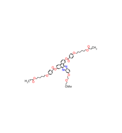 C=CC(=O)OCCCCCCOc1ccc(C(=O)Oc2ccc3c4ccc(OC(=O)c5ccc(OCCCCCCOC(=O)C=C)cc5)cc4c4nc5cc(OCCOCCOC)ccc5nc4c3c2)cc1